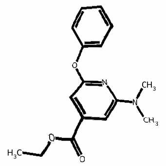 CCOC(=O)c1cc(Oc2ccccc2)nc(N(C)C)c1